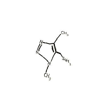 Cc1nnn(C)[c]1[SnH3]